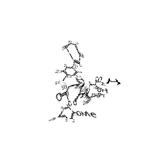 COc1ccccc1OC(=O)[C@H](Cc1ccc(-c2ccccc2)cc1)NC(=O)N(CC(C)C)C[C@H](O)C(=O)O